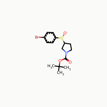 CC(C)(C)OC(=O)N1CCC([S+]([O-])c2ccc(Br)cc2)C1